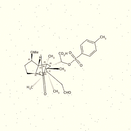 CO[C@@H]1CC[C@@]23CC[C@@H](C)[C@](C)([C@H](C(OS(=O)(=O)c4ccc(C)cc4)C(=O)O)C[C@@](C)(CC=O)C(=O)[C@@H]2C)[C@@H]13